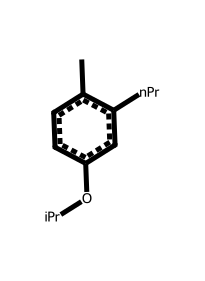 CCCc1cc(OC(C)C)ccc1C